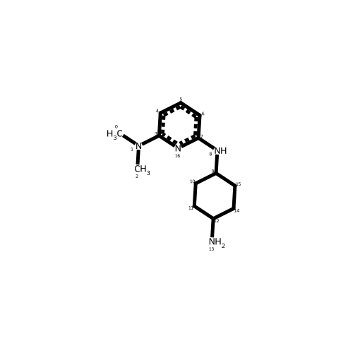 CN(C)c1cccc(NC2CCC(N)CC2)n1